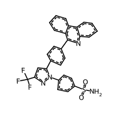 NS(=O)(=O)c1ccc(-n2nc(C(F)(F)F)cc2-c2ccc(-c3nc4ccccc4c4ccccc34)cc2)cc1